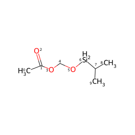 CC(=O)OCO[SiH2]C(C)C